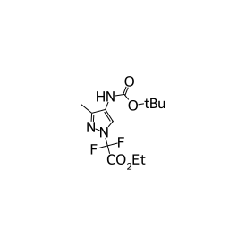 CCOC(=O)C(F)(F)n1cc(NC(=O)OC(C)(C)C)c(C)n1